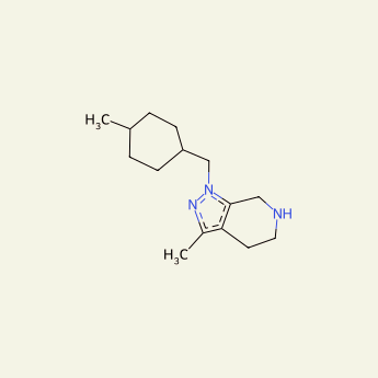 Cc1nn(CC2CCC(C)CC2)c2c1CCNC2